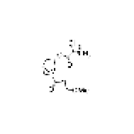 C=C(C)C(=O)OC1CC2CC(C(=O)OCOC)C1C2